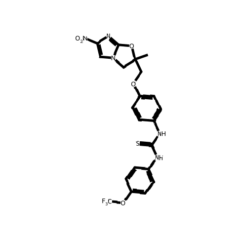 CC1(COc2ccc(NC(=S)Nc3ccc(OC(F)(F)F)cc3)cc2)Cn2cc([N+](=O)[O-])nc2O1